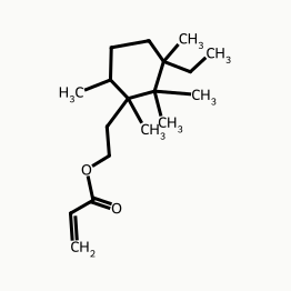 C=CC(=O)OCCC1(C)C(C)CCC(C)(CC)C1(C)C